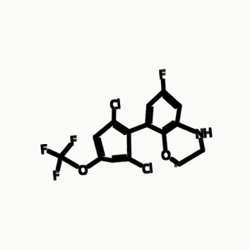 Fc1cc2c(c(-c3c(Cl)cc(OC(F)(F)F)cc3Cl)c1)O[C]CN2